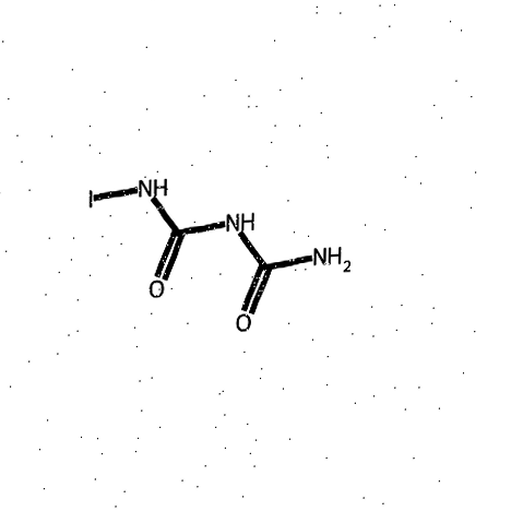 NC(=O)NC(=O)NI